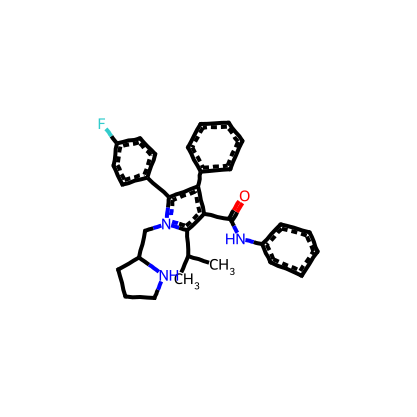 CC(C)c1c(C(=O)Nc2ccccc2)c(-c2ccccc2)c(-c2ccc(F)cc2)n1CC1CCCN1